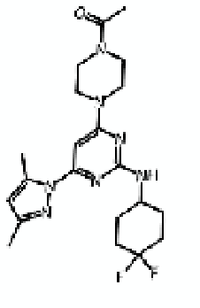 CC(=O)N1CCN(c2cc(-n3nc(C)cc3C)nc(NC3CCC(F)(F)CC3)n2)CC1